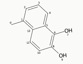 Cc1cccc2c(O)c(O)ccc12